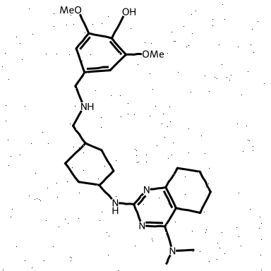 COc1cc(CNCC2CCC(Nc3nc4c(c(N(C)C)n3)CCCC4)CC2)cc(OC)c1O